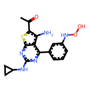 CC(=O)c1sc2nc(NC3CC3)nc(-c3cccc(NOO)c3)c2c1N